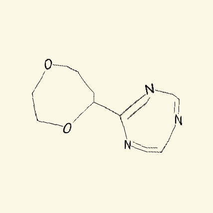 c1ncnc(C2COCCO2)n1